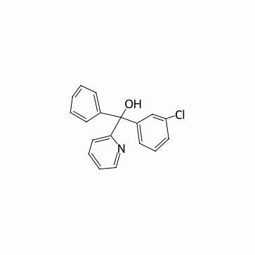 OC(c1ccccc1)(c1cccc(Cl)c1)c1ccccn1